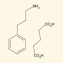 NCCCc1ccccc1.O=C(O)CCCC(=O)O